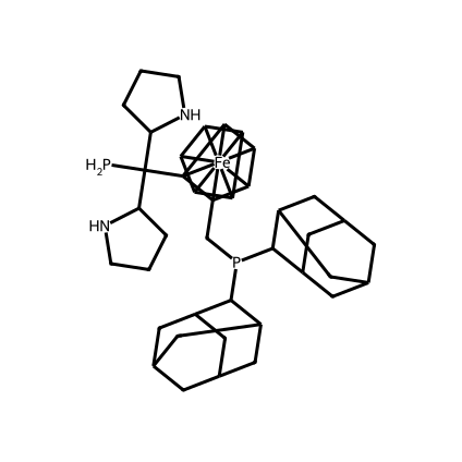 PC(C1CCCN1)(C1CCCN1)[C]12[CH]3[CH]4[CH]5[C]1(CP(C1C6CC7CC(C6)CC1C7)C1C6CC7CC(C6)CC1C7)[Fe]45321678[CH]2[CH]1[CH]6[CH]7[CH]28